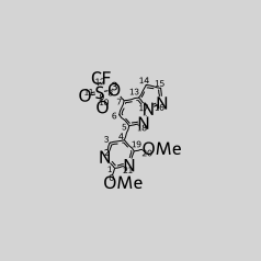 COc1ncc(-c2cc(OS(=O)(=O)C(F)(F)F)c3ccnn3n2)c(OC)n1